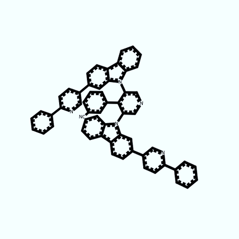 N#Cc1cccc(-c2c(-n3c4ccccc4c4ccc(-c5ccc(-c6ccccc6)nc5)cc43)cncc2-n2c3ccccc3c3ccc(-c4ccc(-c5ccccc5)nc4)cc32)c1